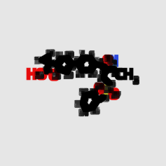 Cc1noc(-c2ccc(-c3ccc(C4(C(=O)O)CC4)cc3)cc2)c1CCS(=O)(=O)Cc1ccccc1